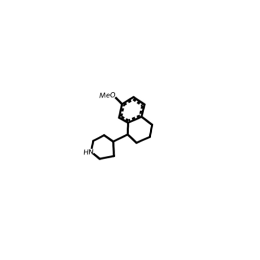 COc1ccc2c(c1)C(C1CCNCC1)CCC2